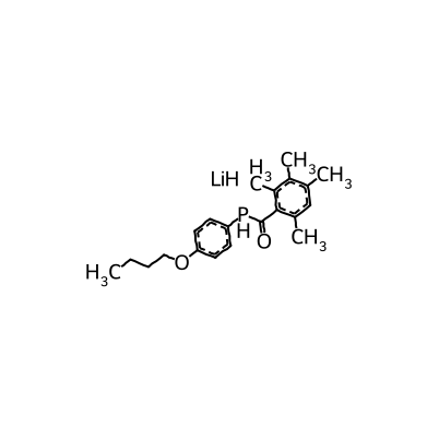 CCCCOc1ccc(PC(=O)c2c(C)cc(C)c(C)c2C)cc1.[LiH]